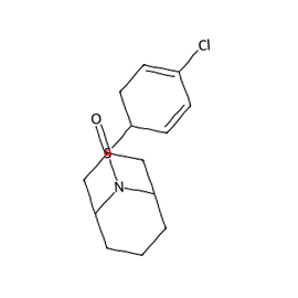 O=C1CC2CCCC(C1)N2SC1C=CC(Cl)=CC1